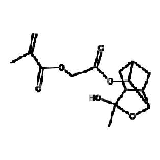 C=C(C)C(=O)OCC(=O)OC1C2CC3C1OC(C)(O)C3C2